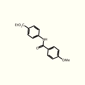 CCOC(=O)c1ccc(NC(=O)c2ccc(OC)cc2)cc1